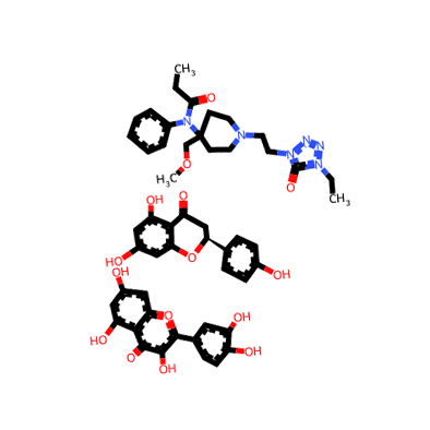 CCC(=O)N(c1ccccc1)C1(COC)CCN(CCn2nnn(CC)c2=O)CC1.O=C1C[C@@H](c2ccc(O)cc2)Oc2cc(O)cc(O)c21.O=c1c(O)c(-c2ccc(O)c(O)c2)oc2cc(O)cc(O)c12